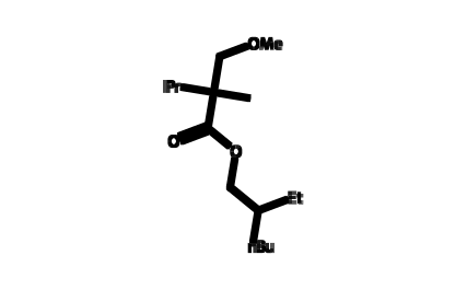 CCCCC(CC)COC(=O)C(C)(COC)C(C)C